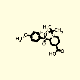 COc1ccc(S(=O)(=O)C2CC(C(=O)O)CCN2C(C)(C)C)cc1